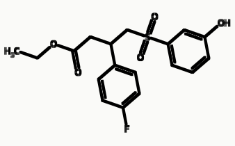 CCOC(=O)CC(CS(=O)(=O)c1cccc(O)c1)c1ccc(F)cc1